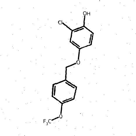 Oc1ccc(OCc2ccc(OC(F)(F)F)cc2)cc1Cl